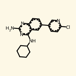 Nc1nc(NC2CCCCC2)c2cc(-c3ccc(Cl)nc3)ccc2n1